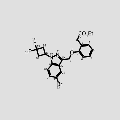 CCOC(=O)Cc1ccccc1OCc1nn(C2CC(F)(F)C2)c2ccc(Br)cc12